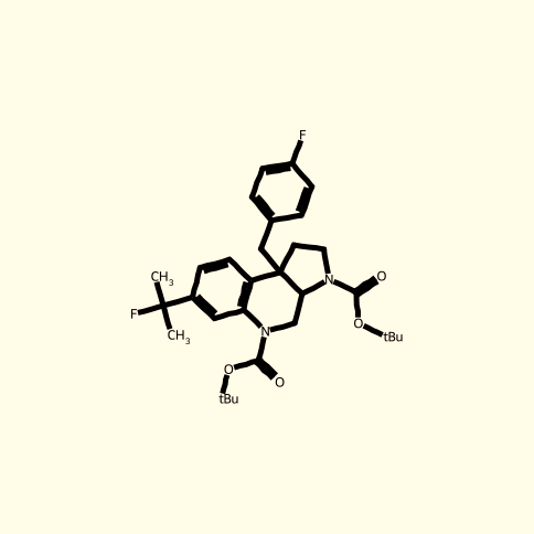 CC(C)(C)OC(=O)N1CC2N(C(=O)OC(C)(C)C)CCC2(Cc2ccc(F)cc2)c2ccc(C(C)(C)F)cc21